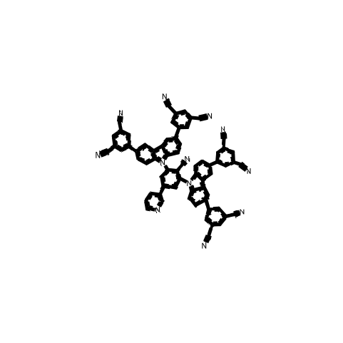 N#Cc1cc(C#N)cc(-c2ccc3c(c2)c2cc(-c4cc(C#N)cc(C#N)c4)ccc2n3-c2cc(-c3cccnc3)cc(-n3c4ccc(-c5cc(C#N)cc(C#N)c5)cc4c4cc(-c5cc(C#N)cc(C#N)c5)ccc43)c2C#N)c1